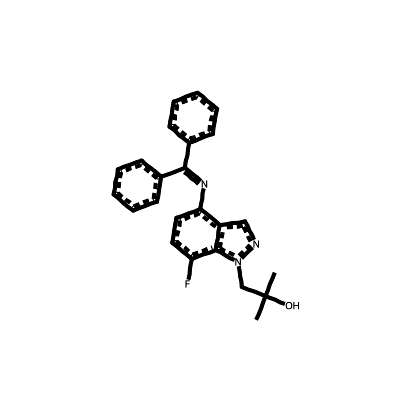 CC(C)(O)Cn1ncc2c(N=C(c3ccccc3)c3ccccc3)ccc(F)c21